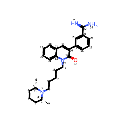 C[C@@H]1CCC[C@H](C)N1CCCCCn1c(=O)c(-c2cccc(C(=N)N)c2)cc2ccccc21